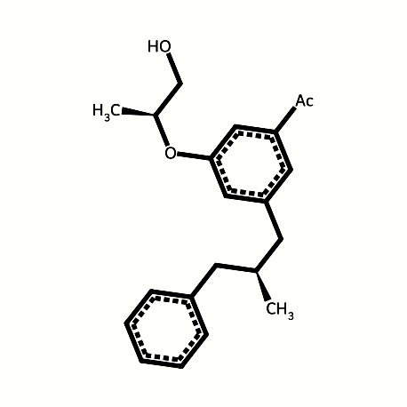 CC(=O)c1cc(C[C@@H](C)Cc2ccccc2)cc(O[C@@H](C)CO)c1